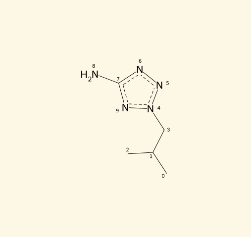 CC(C)Cn1nnc(N)n1